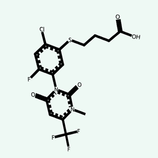 Cn1c(C(F)(F)F)cc(=O)n(-c2cc(SCCCC(=O)O)c(Cl)cc2F)c1=O